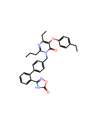 CCCc1nc(CC)c(Oc2ccc(CC)cc2)c(=O)n1Cc1ccc(-c2ccccc2-c2noc(=O)[nH]2)cc1